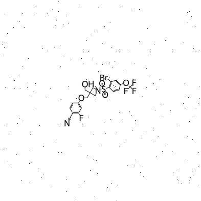 N#Cc1ccc(OCC2(CO)CN(S(=O)(=O)c3ccc(OC(F)(F)F)cc3Br)C2)cc1F